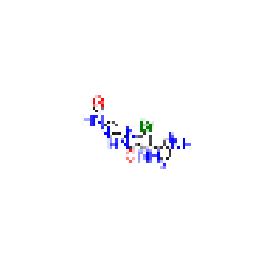 Nc1c(-c2cccc3[nH]ncc23)cc(Br)c2nc(-c3ccc(NC4COC4)nc3)[nH]c(=O)c12